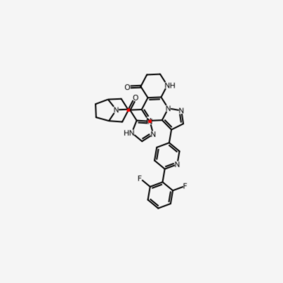 O=C1CCNc2c1c(C1CC3CCC(C1)N3C(=O)c1nnc[nH]1)nc1c(-c3ccc(-c4c(F)cccc4F)nc3)cnn21